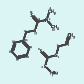 C=CCSC(=S)SCCCC.CN(C)C(=S)SCc1ccccc1